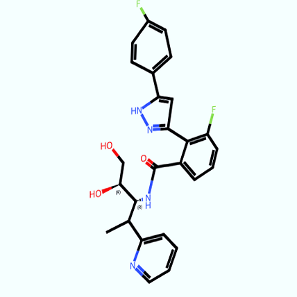 CC(c1ccccn1)[C@@H](NC(=O)c1cccc(F)c1-c1cc(-c2ccc(F)cc2)[nH]n1)[C@@H](O)CO